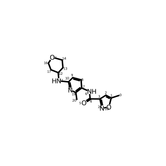 Cc1cc(C(=O)Nc2ccc(NC3CCOCC3)nc2C)no1